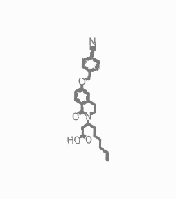 CCCCCCC(CC(=O)O)N1CCc2cc(OCc3ccc(C#N)cc3)ccc2C1=O